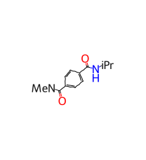 CNC(=O)c1ccc(C(=O)NC(C)C)cc1